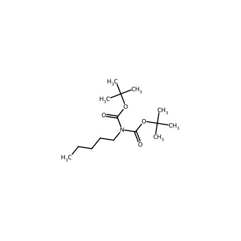 CCCCCN(C(=O)OC(C)(C)C)C(=O)OC(C)(C)C